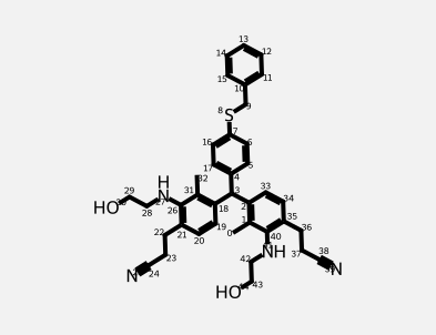 Cc1c(C(c2ccc(SCc3ccccc3)cc2)c2ccc(CCC#N)c(NCCO)c2C)ccc(CCC#N)c1NCCO